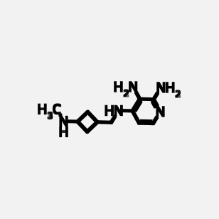 CNC1CC(CNc2ccnc(N)c2N)C1